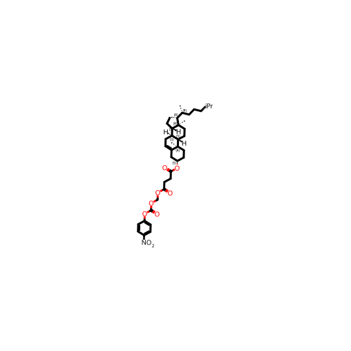 CC(C)CCC[C@@H](C)[C@H]1CC[C@H]2[C@@H]3CC=C4C[C@@H](OC(=O)CCC(=O)OCOC(=O)Oc5ccc([N+](=O)[O-])cc5)CC[C@]4(C)[C@H]3CC[C@]12C